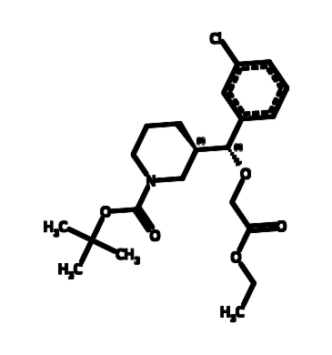 CCOC(=O)CO[C@@H](c1cccc(Cl)c1)[C@@H]1CCCN(C(=O)OC(C)(C)C)C1